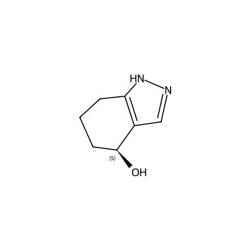 O[C@H]1CCCc2[nH]ncc21